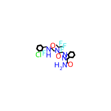 CC(N(CC(=O)NCc1cccc(Cl)c1F)C(=O)Cn1nc(C(N)=O)c2ccccc21)C(F)(F)F